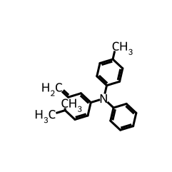 C=C/C=C(\C=C/C(C)C)N(c1ccccc1)c1ccc(C)cc1